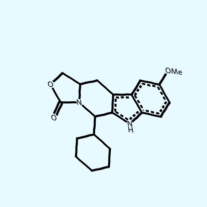 COc1ccc2[nH]c3c(c2c1)CC1COC(=O)N1C3C1CCCCC1